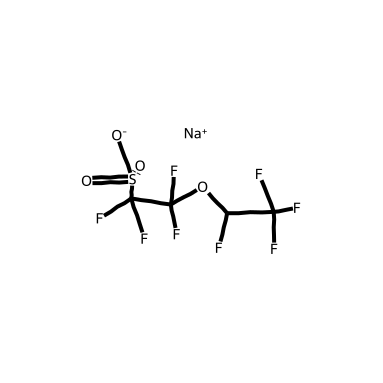 O=S(=O)([O-])C(F)(F)C(F)(F)OC(F)C(F)(F)F.[Na+]